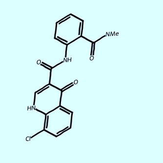 CNC(=O)c1ccccc1NC(=O)c1c[nH]c2c(Cl)cccc2c1=O